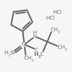 CC(C)(C)[NH][Ti]([CH3])([CH3])(=[SiH2])[C]1=CC=CC1.Cl.Cl